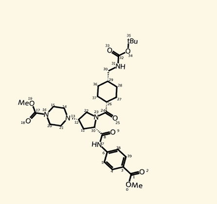 COC(=O)c1ccc(NC(=O)[C@@H]2C[C@H](N3CCN(C(=O)OC)CC3)CN2C(=O)[C@H]2CC[C@@H](CNC(=O)OC(C)(C)C)CC2)cc1